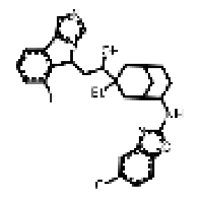 CCC1(C(O)CC2c3c(F)cccc3-c3cncn32)CC2CCC(Nc3nc4cc(Cl)ccc4o3)C(C2)C1